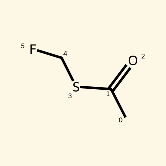 CC(=O)SCF